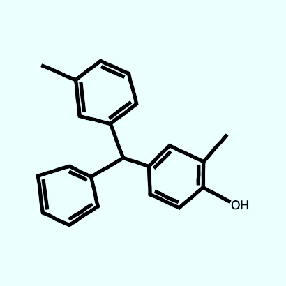 Cc1cccc(C(c2ccccc2)c2ccc(O)c(C)c2)c1